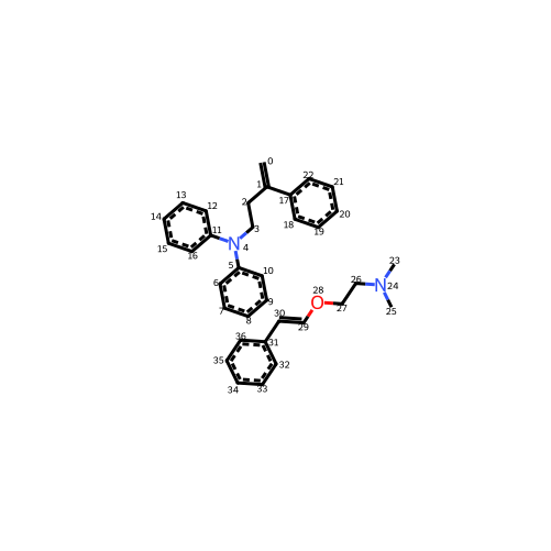 C=C(CCN(c1ccccc1)c1ccccc1)c1ccccc1.CN(C)CCOC=Cc1ccccc1